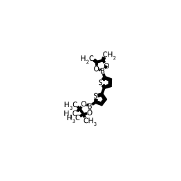 C=C1OB(c2ccc(-c3ccc(B4OC(C)(C)C(C)(C)O4)s3)s2)OC1=C